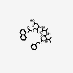 CC(=O)OCC(=O)C(CC(=O)O)NC(=O)C(C)NC(=O)C(NC(=O)OCc1ccccc1)C(C)C.c1ccc2ccccc2c1